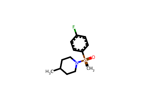 C=S(=O)(c1ccc(F)cc1)N1CCC(C)CC1